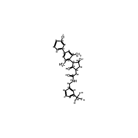 Cc1cc(-c2cc(Cl)ccn2)cc(C)c1C1C(=O)CC(CC(=O)NCc2cccc(C(F)(F)F)c2)C1=O